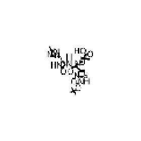 Cc1ncn(C[C@@H]2NC(=O)[C@H]2NC(=O)C(=NOC(C)(C)C(=O)O)c2csc(NC(=O)OC(C)(C)C)n2)n1